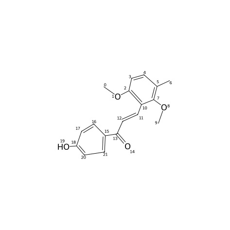 COc1ccc(C)c(OC)c1C=CC(=O)c1ccc(O)cc1